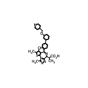 Cc1sc2c(c1C)C(c1ccc(-c3cccc(OCc4ccncc4)c3)cc1)=N[C@@H](C(C)C(=O)O)c1nnc(C)n1-2